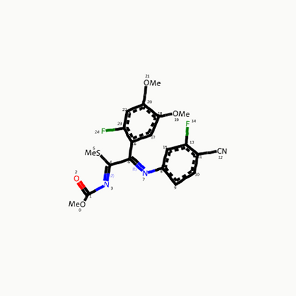 COC(=O)/N=C(SC)/C(=N/c1ccc(C#N)c(F)c1)c1cc(OC)c(OC)cc1F